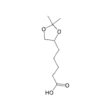 CC1(C)OCC(CCCCC(=O)O)O1